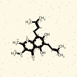 CC(C)=CCc1c(O)c(CC=C(C)C)c2oc(C)c(OP)c(=O)c2c1O